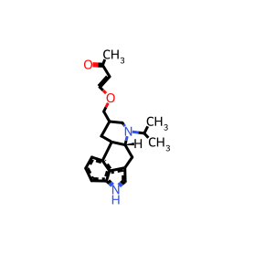 CC(=O)C=COCC1CC2c3cccc4[nH]cc(c34)C[C@H]2N(C(C)C)C1